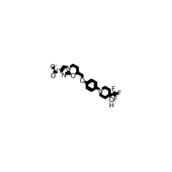 O=[N+]([O-])c1cn2c(n1)OC(COc1ccc(N3CCC(O)(C(F)(F)F)CC3)cc1)CC2